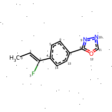 C/C=C(\F)c1ccc(-c2nnco2)cc1